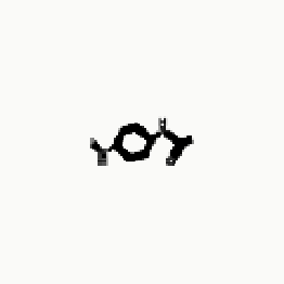 CC(=O)N[C@H]1CC[C@H](NI)CC1